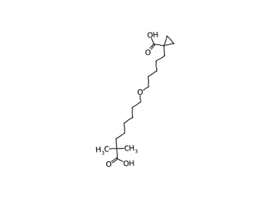 CC(C)(CCCCCCOCCCCCC1(C(=O)O)CC1)C(=O)O